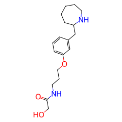 O=C(CO)NCCCOc1cccc(CC2CCCCCN2)c1